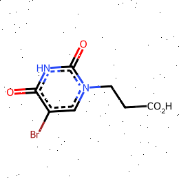 O=C(O)CCn1cc(Br)c(=O)[nH]c1=O